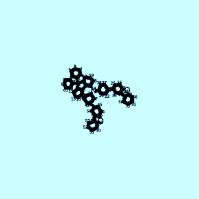 c1ccc(C2(c3ccccc3)c3ccccc3-c3c(N(c4ccc(-c5ccc6oc7ccccc7c6c5)cc4)c4cccc(-c5ccc6oc7ccccc7c6c5)c4)cccc32)cc1